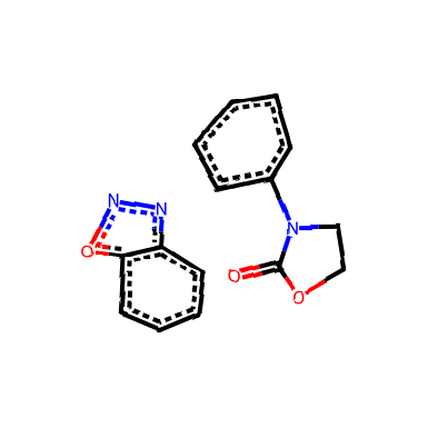 O=C1OCCN1c1ccccc1.c1ccc2onnc2c1